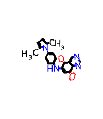 Cc1ccc(C)n1-c1ccc(NC2=CC(=O)c3ncncc3C2=O)cc1